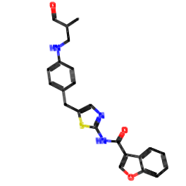 CC(C=O)CNc1ccc(Cc2cnc(NC(=O)c3coc4ccccc34)s2)cc1